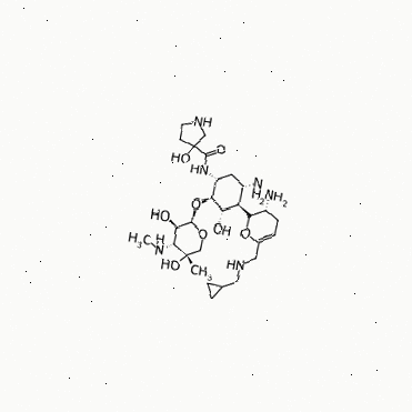 CN[C@@H]1[C@@H](O)[C@@H](O[C@@H]2[C@@H](O)[C@H](C3OC(CNCC4CC4)=CC[C@H]3N)[C@@H](N)C[C@H]2NC(=O)C2(O)CCNC2)OC[C@]1(C)O